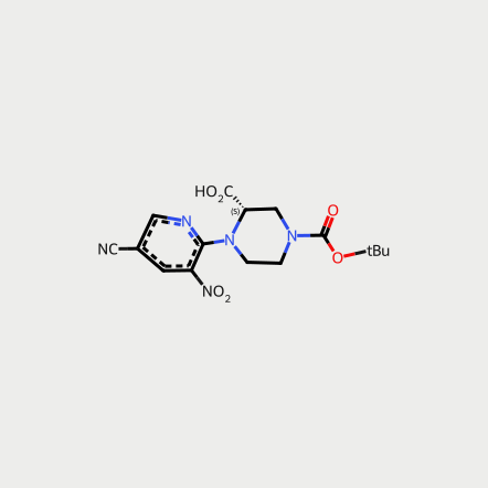 CC(C)(C)OC(=O)N1CCN(c2ncc(C#N)cc2[N+](=O)[O-])[C@H](C(=O)O)C1